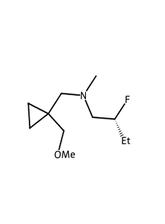 CC[C@@H](F)CN(C)CC1(COC)CC1